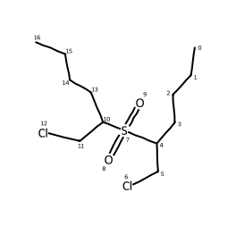 CCCCC(CCl)S(=O)(=O)C(CCl)CCCC